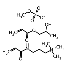 C=CC(=O)NCCC[N+](C)(C)C.C=CC(=O)OCC(C)O.COS(=O)(=O)[O-]